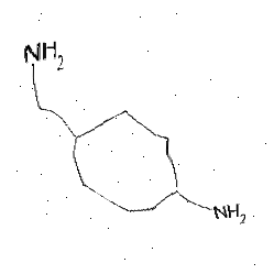 NCC1CCC(N)CC1